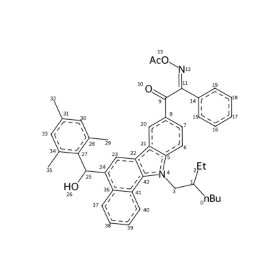 CCCCC(CC)Cn1c2ccc(C(=O)/C(=N\OC(C)=O)c3ccccc3)cc2c2cc(C(O)c3c(C)cc(C)cc3C)c3ccccc3c21